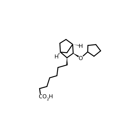 O=C(O)CCCCCC[C@H]1[C@H]2CC[C@H](C2)[C@H]1OC1CCCC1